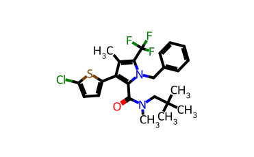 Cc1c(-c2ccc(Cl)s2)c(C(=O)N(C)CC(C)(C)C)n(Cc2ccccc2)c1C(F)(F)F